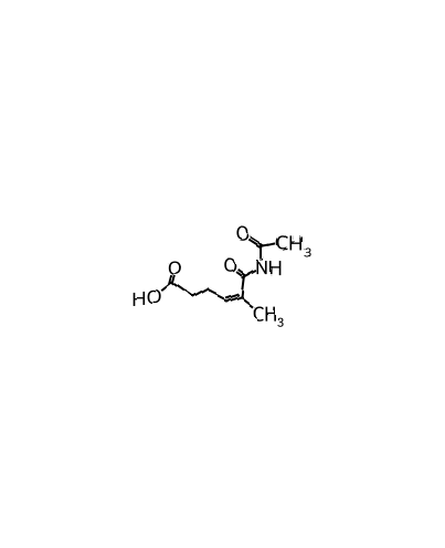 CC(=O)NC(=O)/C(C)=C\CCC(=O)O